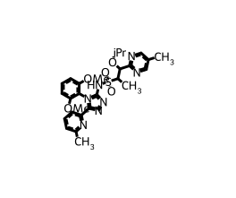 COc1cccc(OC)c1-n1c(NS(=O)(=O)C(C)C(OC(C)C)c2ncc(C)cn2)nnc1-c1cccc(C)n1